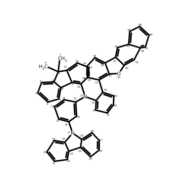 CC1(C)c2ccccc2-c2c(N(c3cccc(-n4c5ccccc5c5ccccc54)c3)c3ccccc3-c3cccc4c3oc3cc5ccccc5cc34)cccc21